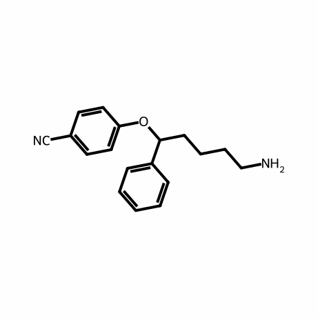 N#Cc1ccc(OC(CCCCN)c2ccccc2)cc1